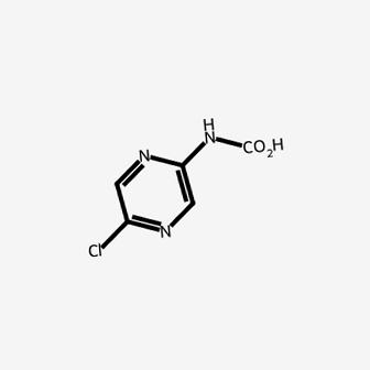 O=C(O)Nc1cnc(Cl)cn1